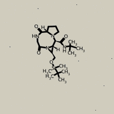 CC(C)(C)NC(=O)[C@H]1[C@@H]2[C@@H](CO[Si](C)(C)C(C)(C)C)N2C(=O)CNC(=O)[C@@H]2CCCN21